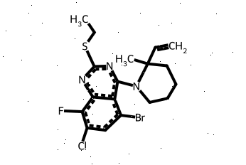 C=CC1(C)CCCCN1c1nc(SCC)nc2c(F)c(Cl)cc(Br)c12